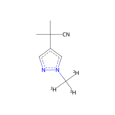 [2H]C([2H])([2H])n1cc(C(C)(C)C#N)cn1